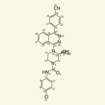 C[C@H]1CN(C(=O)Nc2ccc(Cl)cc2)CCN1c1nnc(-c2ccc(C#N)cc2)c2ccccc12.Cl